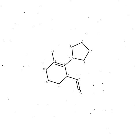 CC1=C(N2CCCC2)C(C=O)CCC1